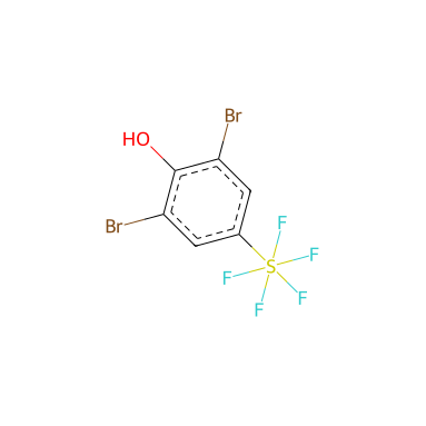 Oc1c(Br)cc(S(F)(F)(F)(F)F)cc1Br